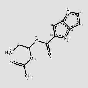 CCC(OC(C)=O)OC(=O)c1cc2occc2[nH]1